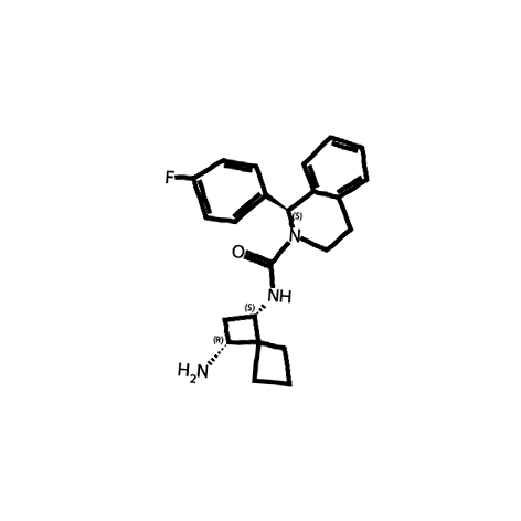 N[C@@H]1C[C@H](NC(=O)N2CCc3ccccc3[C@@H]2c2ccc(F)cc2)C12CCC2